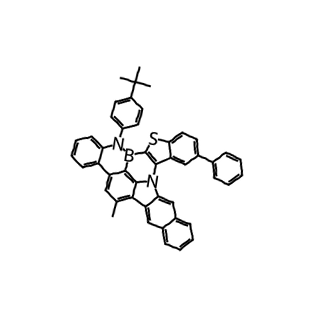 Cc1cc2c3c4c1c1cc5ccccc5cc1n4-c1c(sc4ccc(-c5ccccc5)cc14)B3N(c1ccc(C(C)(C)C)cc1)c1ccccc1-2